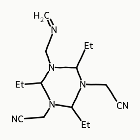 C=NCN1C(CC)N(CC#N)C(CC)N(CC#N)C1CC